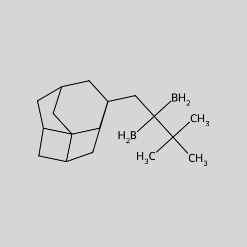 BC(B)(CC12CC3CC4CC(C1)C4(C3)C2)C(C)(C)C